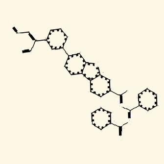 C=C/C=C(\C=C)c1cccc(-c2ccc3c(c2)oc2cc(/C(C)=N/C(=N\C(=C)c4ccccc4)c4ccccc4)ccc23)c1